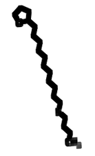 CCCCSCCCCCCCCCCCC1CCCO1